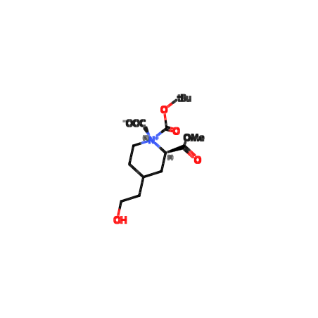 COC(=O)[C@H]1CC(CCO)CC[N@+]1(C(=O)[O-])C(=O)OC(C)(C)C